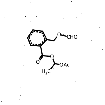 CC(=O)OC(C)OC(=O)c1ccccc1COC=O